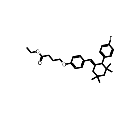 CCOC(=O)CCCOc1ccc(C=C2CC(C)(C)CC(C)(C)C2c2ccc(F)cc2)cc1